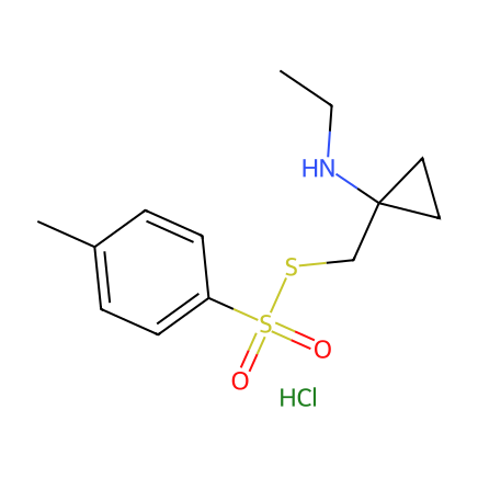 CCNC1(CSS(=O)(=O)c2ccc(C)cc2)CC1.Cl